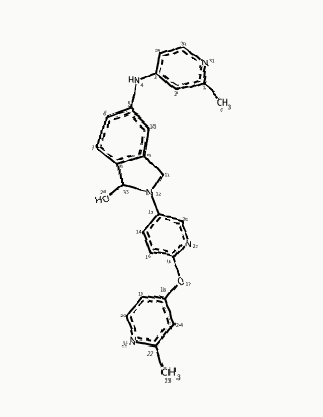 Cc1cc(Nc2ccc3c(c2)CN(c2ccc(Oc4ccnc(C)c4)nc2)C3O)ccn1